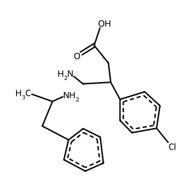 CC(N)Cc1ccccc1.NCC(CC(=O)O)c1ccc(Cl)cc1